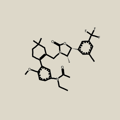 CCN(C(C)=O)c1ccc(OC)c(C2=C(CN3C(=O)O[C@H](c4cc(C)cc(C(F)(F)F)c4)[C@@H]3C)CC(C)(C)CC2)c1